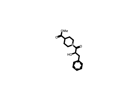 COC(=O)C1CCN(C(=O)C(O)Cc2ccccc2)CC1